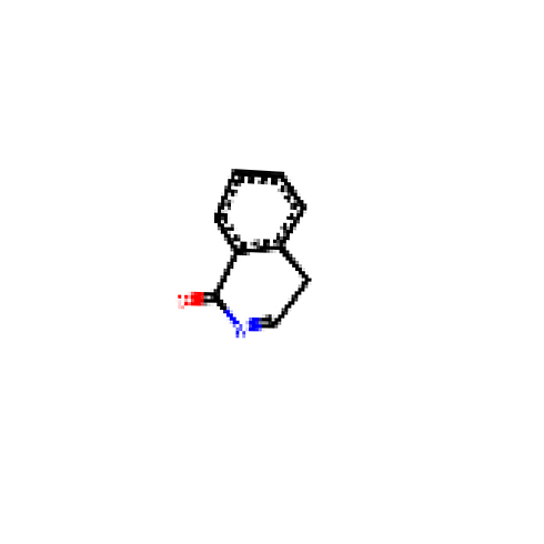 O=C1N=CCc2cc[c]cc21